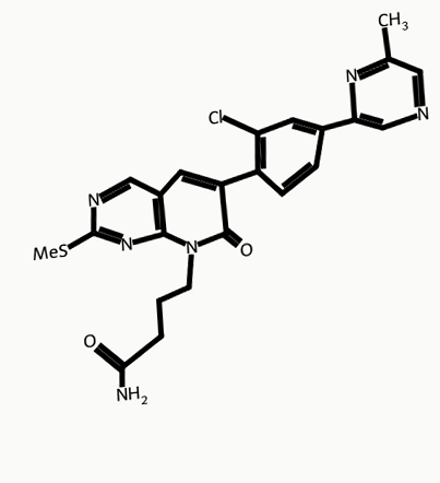 CSc1ncc2cc(-c3ccc(-c4cncc(C)n4)cc3Cl)c(=O)n(CCCC(N)=O)c2n1